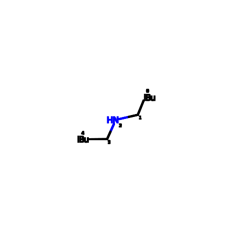 CCC(C)CNCC(C)CC